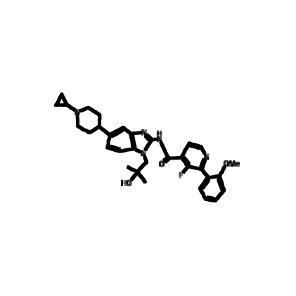 COc1ccccc1-c1nccc(C(=O)Nc2nc3cc(C4CCN(C5CC5)CC4)ccc3n2CC(C)(C)O)c1F